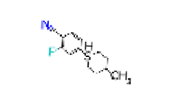 CC1CC[SiH](c2ccc(C#N)c(F)c2)CC1